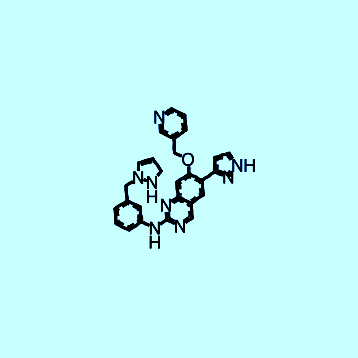 C1=CN(Cc2cccc(Nc3ncc4cc(-c5cc[nH]n5)c(OCc5cccnc5)cc4n3)c2)NC1